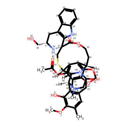 COc1c(C)cc2c(c1O)[C@H]1[C@@H]3[C@@H]4SC[C@]5(N[C@H](CO)Cc6c5[nH]c5ccccc65)C(=O)OCC[C@@H](c5c6c(c(C)c(OC(C)=O)c54)OCO6)N3C(O)(C2)CN1C